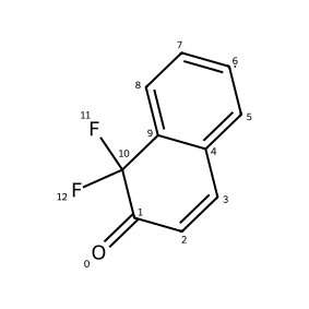 O=C1C=Cc2c[c]ccc2C1(F)F